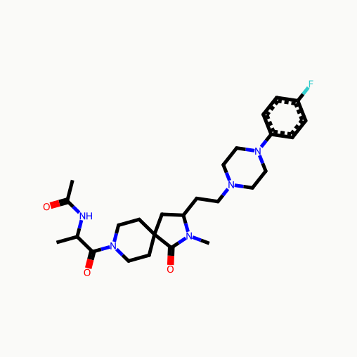 CC(=O)NC(C)C(=O)N1CCC2(CC1)CC(CCN1CCN(c3ccc(F)cc3)CC1)N(C)C2=O